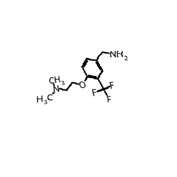 CN(C)CCOc1ccc(CN)cc1C(F)(F)F